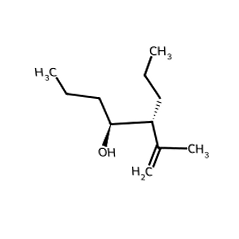 C=C(C)[C@@H](CCC)[C@@H](O)CCC